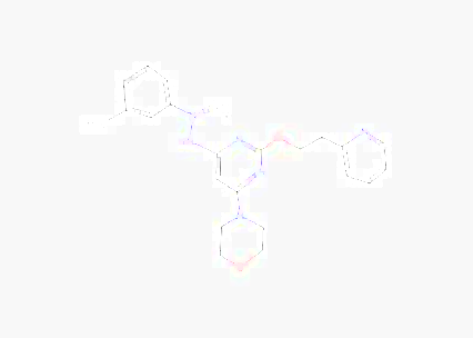 C=[N+](Nc1cc(N2CCOCC2)nc(OCCc2ccccn2)n1)c1cccc(C)c1